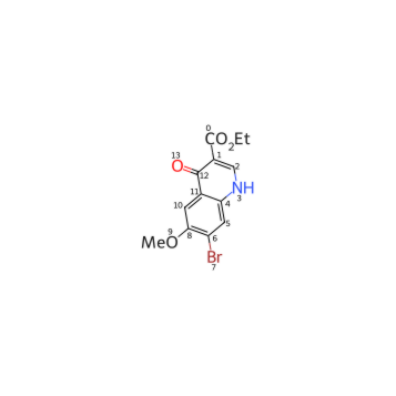 CCOC(=O)c1c[nH]c2cc(Br)c(OC)cc2c1=O